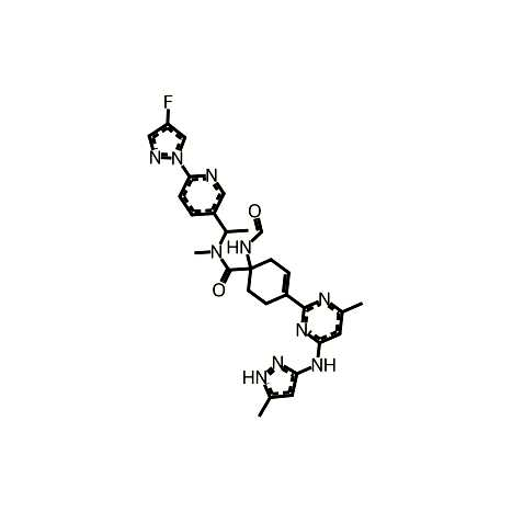 Cc1cc(Nc2cc(C)[nH]n2)nc(C2=CCC(NC=O)(C(=O)N(C)C(C)c3ccc(-n4cc(F)cn4)nc3)CC2)n1